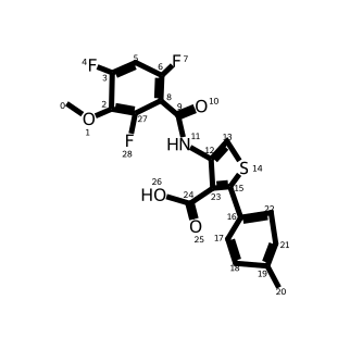 COc1c(F)cc(F)c(C(=O)Nc2csc(-c3ccc(C)cc3)c2C(=O)O)c1F